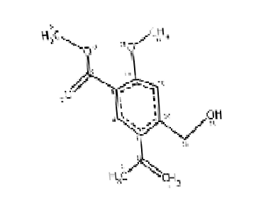 C=C(C)c1cc(C(=O)OC)c(OC)cc1CO